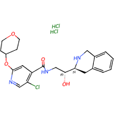 Cl.Cl.O=C(NC[C@@H](O)[C@@H]1Cc2ccccc2CN1)c1cc(OC2CCOCC2)ncc1Cl